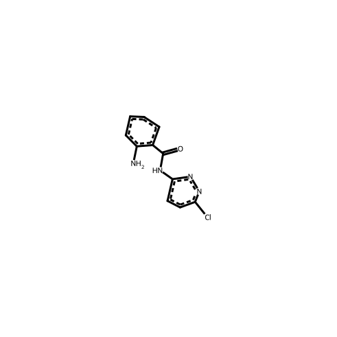 Nc1ccccc1C(=O)Nc1ccc(Cl)nn1